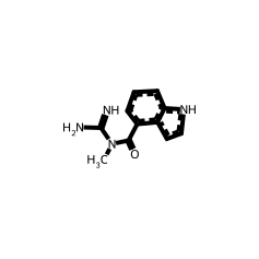 CN(C(=N)N)C(=O)c1cccc2[nH]ccc12